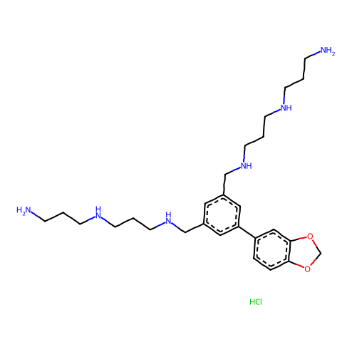 Cl.NCCCNCCCNCc1cc(CNCCCNCCCN)cc(-c2ccc3c(c2)OCO3)c1